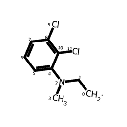 [CH2]CN(C)c1cccc(Cl)c1Cl